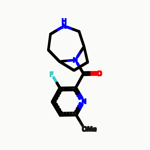 COc1ccc(F)c(C(=O)N2C3CCNCC2CC3)n1